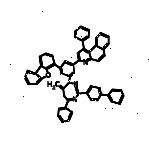 C=C1CC(c2ccccc2)=NC(c2ccc(-c3ccccc3)cc2)=NC1c1cc(-c2cc(-c3ccccc3)c3c(ccc4ccccc43)n2)cc(-c2cccc3c2oc2ccccc23)c1